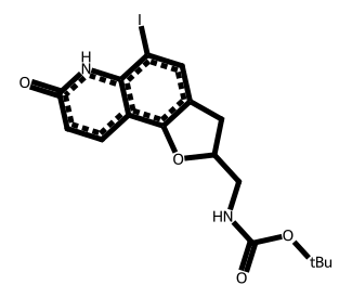 CC(C)(C)OC(=O)NCC1Cc2cc(I)c3[nH]c(=O)ccc3c2O1